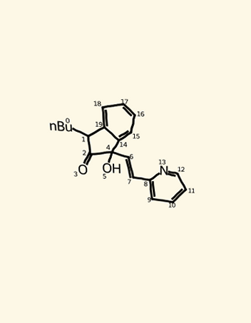 CCCCC1C(=O)C(O)(/C=C/c2ccccn2)c2ccccc21